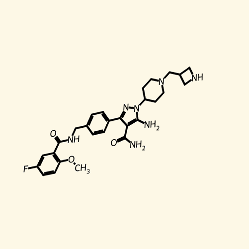 COc1ccc(F)cc1C(=O)NCc1ccc(-c2nn(C3CCN(CC4CNC4)CC3)c(N)c2C(N)=O)cc1